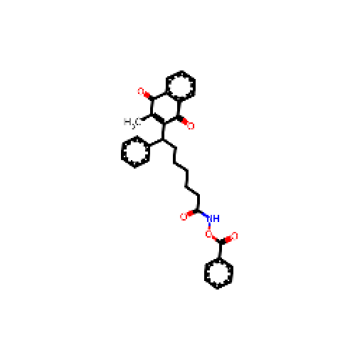 CC1=C(C(CCCCCC(=O)NOC(=O)c2ccccc2)c2ccccc2)C(=O)c2ccccc2C1=O